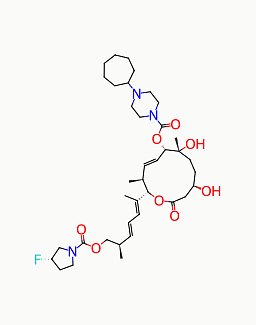 C/C(=C\C=C\[C@@H](C)COC(=O)N1CC[C@H](F)C1)[C@H]1OC(=O)C[C@H](O)CC[C@@](C)(O)[C@@H](OC(=O)N2CCN(C3CCCCCC3)CC2)/C=C/[C@@H]1C